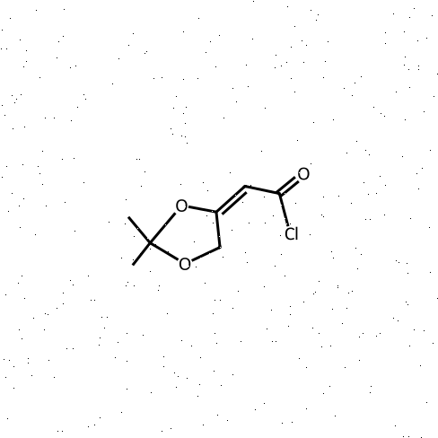 CC1(C)OC/C(=C\C(=O)Cl)O1